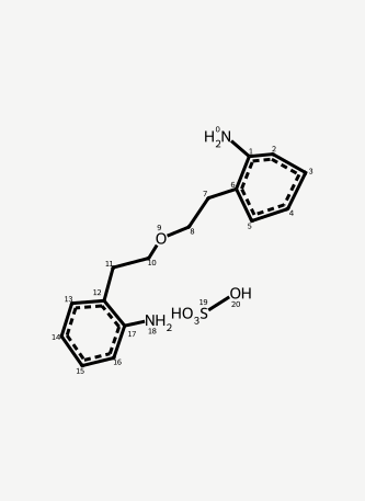 Nc1ccccc1CCOCCc1ccccc1N.O=S(=O)(O)O